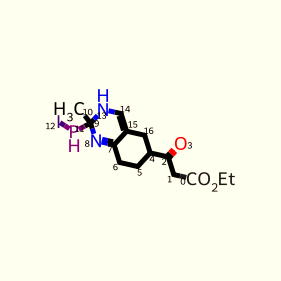 CCOC(=O)CC(=O)C1CCC2=NC(C)(PI)NC=C2C1